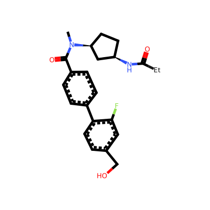 CCC(=O)N[C@@H]1CC[C@H](N(C)C(=O)c2ccc(-c3ccc(CO)cc3F)cc2)C1